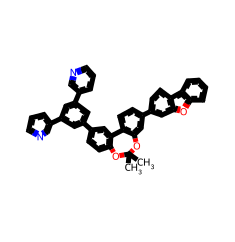 CC1(C)Oc2cc(-c3ccc4c(c3)oc3ccccc34)ccc2-c2cc(-c3cc(-c4cccnc4)cc(-c4cccnc4)c3)ccc2O1